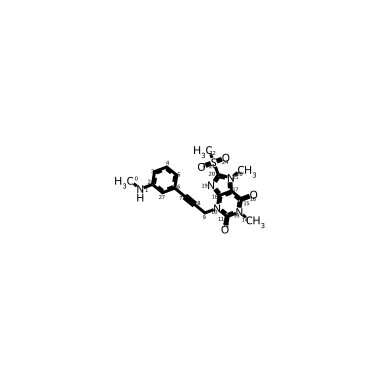 CNc1cccc(C#CCn2c(=O)n(C)c(=O)c3c2nc(S(C)(=O)=O)n3C)c1